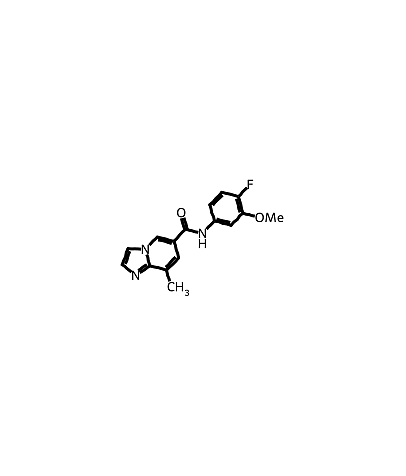 COc1cc(NC(=O)c2cc(C)c3nccn3c2)ccc1F